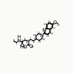 CCNC(=O)CN(CCC1CCN(c2ccc3cc(OC)ccc3n2)CC1)C(=O)O